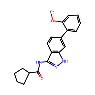 CCOc1ccccc1-c1ccc2c(NC(=O)C3CCCC3)n[nH]c2c1